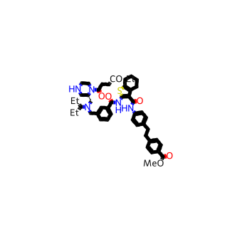 CCOC(=O)CCC(=O)N1CCNC[C@H]1CN(Cc1cccc(C(=O)Nc2sc3c(c2C(=O)Nc2ccc(CCc4ccc(C(=O)OC)cc4)cc2)CCCC3)c1)C(CC)CC